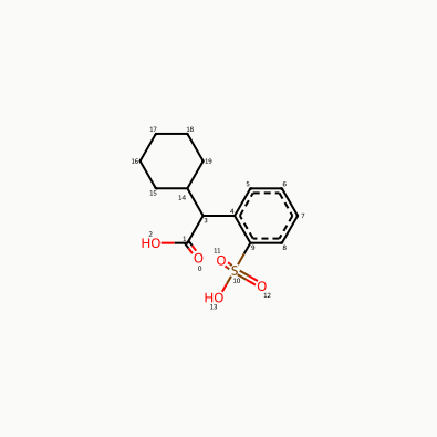 O=C(O)C(c1ccccc1S(=O)(=O)O)C1CCCCC1